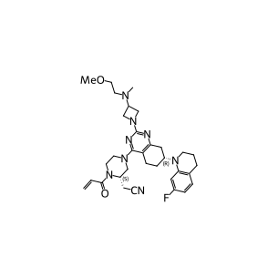 C=CC(=O)N1CCN(c2nc(N3CC(N(C)CCOC)C3)nc3c2CC[C@@H](N2CCCc4ccc(F)cc42)C3)C[C@@H]1CC#N